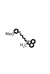 COc1cccc(SCCCCCN[C@H](C)c2cccc3ccccc23)c1